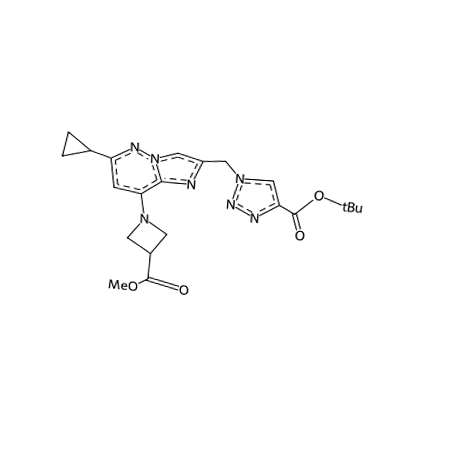 COC(=O)C1CN(c2cc(C3CC3)nn3cc(Cn4cc(C(=O)OC(C)(C)C)nn4)nc23)C1